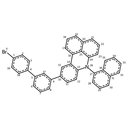 Brc1ccc(-c2cccc(-c3ccc4c(c3)-c3cccc5cccc(c35)N4c3cccc4ccccc34)c2)cc1